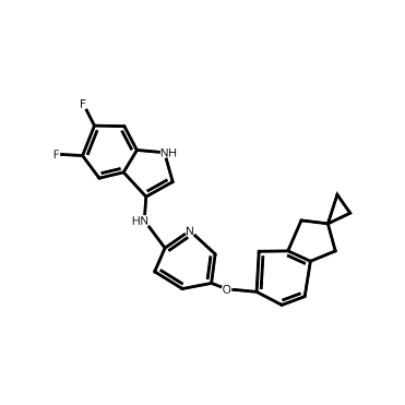 Fc1cc2[nH]cc(Nc3ccc(Oc4ccc5c(c4)CC4(CC4)C5)cn3)c2cc1F